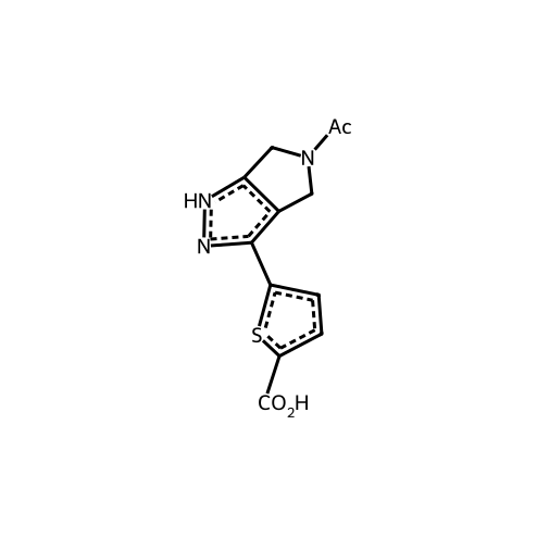 CC(=O)N1Cc2[nH]nc(-c3ccc(C(=O)O)s3)c2C1